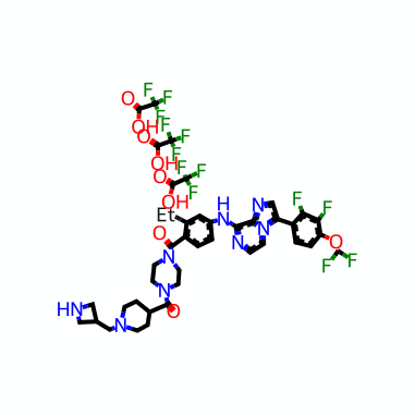 CCc1cc(Nc2nccn3c(-c4ccc(OC(F)F)c(F)c4F)cnc23)ccc1C(=O)N1CCN(C(=O)C2CCN(CC3CNC3)CC2)CC1.O=C(O)C(F)(F)F.O=C(O)C(F)(F)F.O=C(O)C(F)(F)F